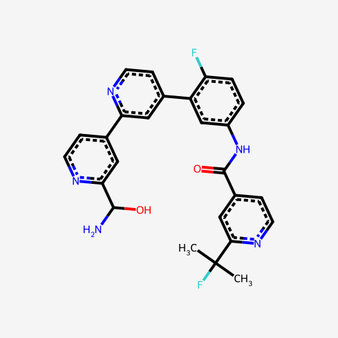 CC(C)(F)c1cc(C(=O)Nc2ccc(F)c(-c3ccnc(-c4ccnc(C(N)O)c4)c3)c2)ccn1